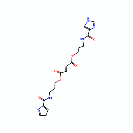 O=C(/C=C/C(=O)OCCCNC(=O)c1c[nH]cn1)OCCCNC(=O)C1=CCC=N1